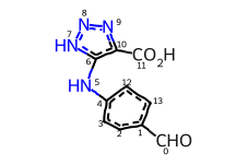 O=Cc1ccc(Nc2[nH]nnc2C(=O)O)cc1